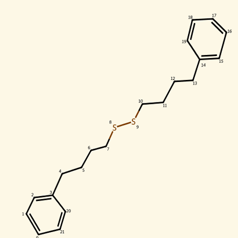 c1ccc(CCCCSSCCCCc2ccccc2)cc1